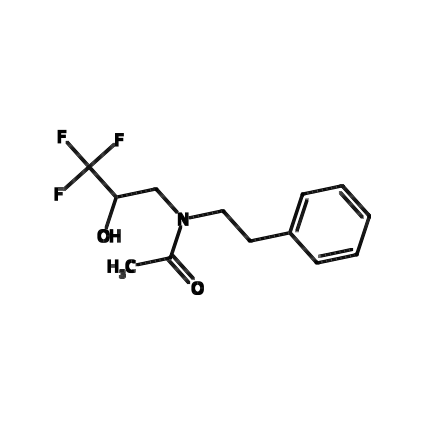 CC(=O)N(CCc1ccccc1)CC(O)C(F)(F)F